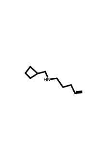 C=CCCCNCC1CCC1